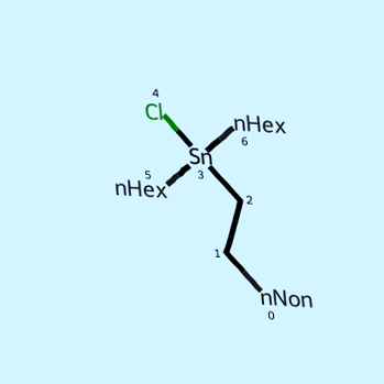 CCCCCCCCCC[CH2][Sn]([Cl])([CH2]CCCCC)[CH2]CCCCC